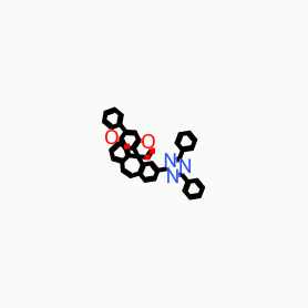 C1=Cc2ccc(-c3nc(-c4ccccc4)nc(-c4ccccc4)n3)cc2C2(c3ccccc31)c1ccccc1Oc1cc3c(cc12)oc1ccccc13